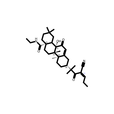 CC/C=C(/C#N)C(=O)C(C)(C)[C@@H]1CC[C@]2(C)C(=CC(=O)[C@]3(O)C4CC(C)(C)CC[C@]4(C(=O)NCC)CC[C@@]23C)C1